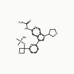 CC(C)(C)[Si](C)(C)OC1(c2cccc(-c3cn(C4CCOC4)c4cnc(NC(N)=O)cc34)n2)COC1